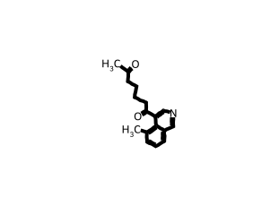 CC(=O)CCCCC(=O)c1cncc2cccc(C)c12